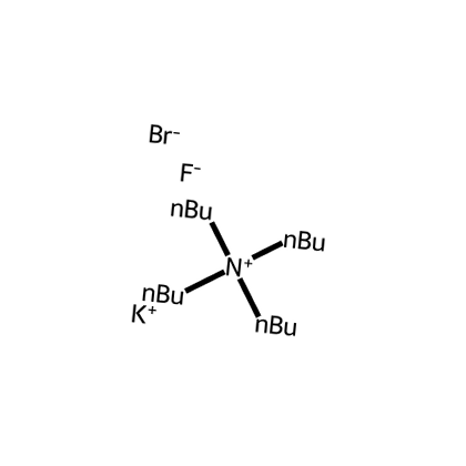 CCCC[N+](CCCC)(CCCC)CCCC.[Br-].[F-].[K+]